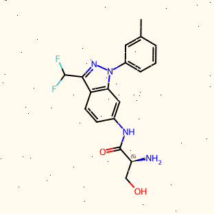 Cc1cccc(-n2nc(C(F)F)c3ccc(NC(=O)[C@@H](N)CO)cc32)c1